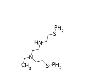 CCN(CCNCCSP)CCSP